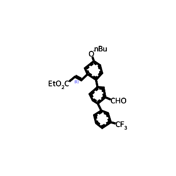 CCCCOc1ccc(-c2ccc(-c3cccc(C(F)(F)F)c3)c(C=O)c2)c(/C=C/C(=O)OCC)c1